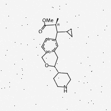 COC(=O)[C@@H](C)C(c1ccc2c(c1)CC(C1CCNCC1)OC2)C1CC1